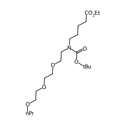 CCCOCCOCCOCCN(CCCCC(=O)OCC)C(=O)OC(C)(C)C